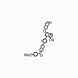 COc1ccc(C(=O)N2CC3CN(c4ccc(-c5cc(OC6CC7CNCC7C6)cn6ncc(C#N)c56)cn4)CC3C2)cc1